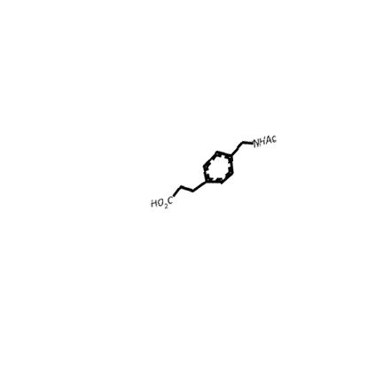 CC(=O)NCc1ccc(CCC(=O)O)cc1